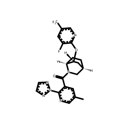 Cc1cnc(-n2nccn2)c(C(=O)N2C[C@@H]3CC[C@H]2[C@H](Oc2ncc(C(F)(F)F)cc2F)C3)c1